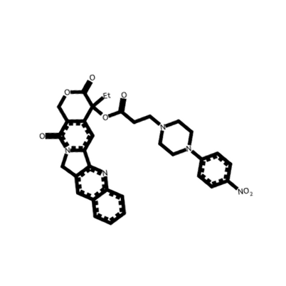 CCC1(OC(=O)CCN2CCN(c3ccc([N+](=O)[O-])cc3)CC2)C(=O)OCc2c1cc1n(c2=O)Cc2cc3ccccc3nc2-1